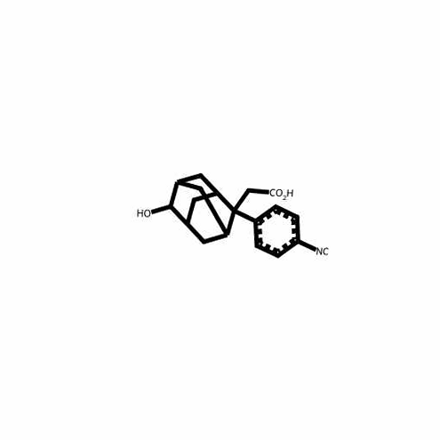 [C-]#[N+]c1ccc(C2(CC(=O)O)C3CC4CC2CC(C3)C4O)cc1